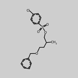 CC(CCOCc1ccccc1)COS(=O)(=O)c1ccc(Cl)cc1